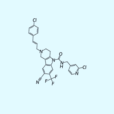 N#Cc1cc2c3c(n(C(=O)NCc4ccnc(Cl)c4)c2cc1C(F)(F)F)CCN(CC=Cc1ccc(Cl)cc1)C3